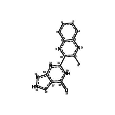 Cc1nc2ccccc2nc1-c1nc2n[nH]cc2c(=O)[nH]1